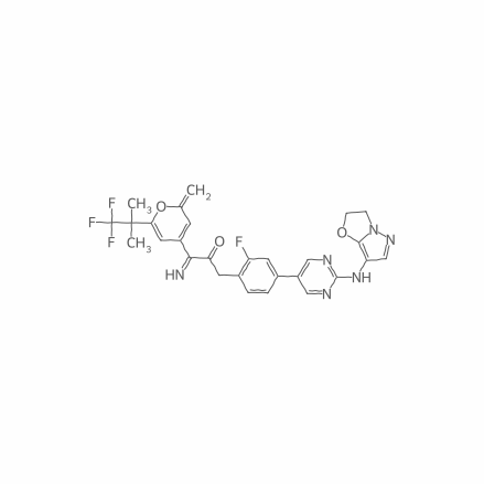 C=C1C=C(C(=N)C(=O)Cc2ccc(-c3cnc(Nc4cnn5c4OCC5)nc3)cc2F)C=C(C(C)(C)C(F)(F)F)O1